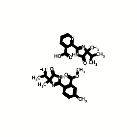 CC(C)C1(C)N=C(c2ncccc2C(=O)O)NC1=O.COC(=O)c1cc(C)ccc1C1=NC(C)(C(C)C)C(=O)N1